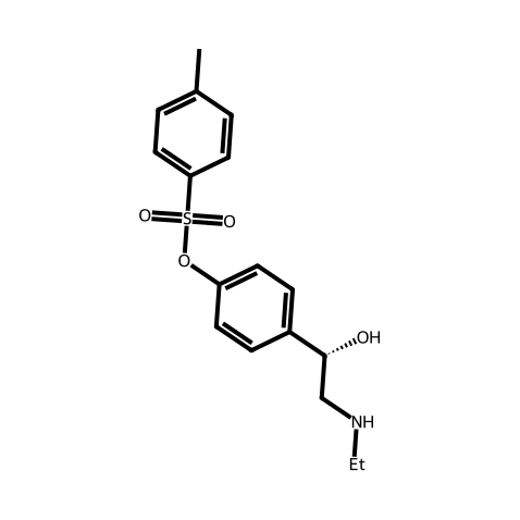 CCNC[C@@H](O)c1ccc(OS(=O)(=O)c2ccc(C)cc2)cc1